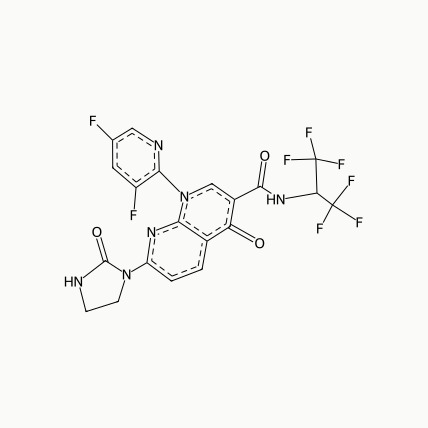 O=C(NC(C(F)(F)F)C(F)(F)F)c1cn(-c2ncc(F)cc2F)c2nc(N3CCNC3=O)ccc2c1=O